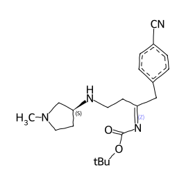 CN1CC[C@H](NCC/C(Cc2ccc(C#N)cc2)=N\C(=O)OC(C)(C)C)C1